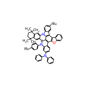 CC(C)(C)c1ccc(N2B3c4cc5c(cc4-n4c6ccc(C(C)(C)C)cc6c6c7c(oc8ccccc87)c(c3c64)-c3ccc(N(c4ccccc4)c4ccccc4)cc32)C(C)(C)CCC5(C)C)cc1